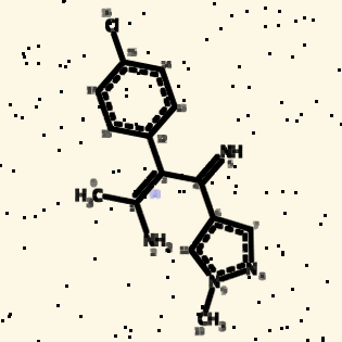 C/C(N)=C(/C(=N)c1cnn(C)c1)c1ccc(Cl)cc1